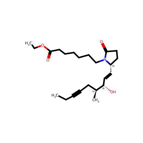 CCC#CC[C@H](C)[C@@H](O)C=C[C@H]1CCC(=O)N1CCCCCCC(=O)OCC